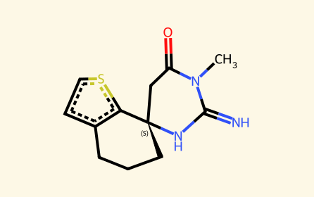 CN1C(=N)N[C@@]2(CCCc3ccsc32)CC1=O